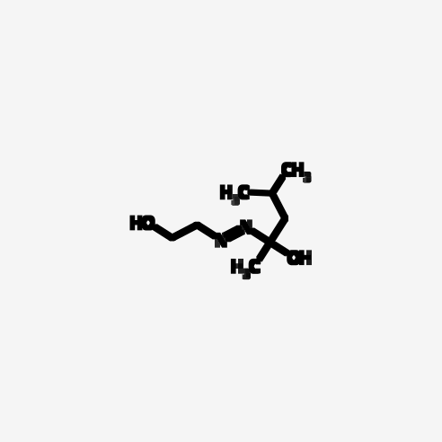 CC(C)CC(C)(O)N=NCCO